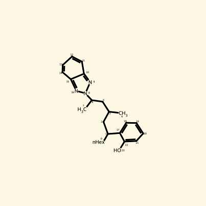 CCCCCCC(CC(C)CC(C)n1nc2ccccc2n1)c1ccccc1O